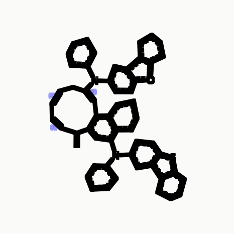 C=C1/C=C\C=C/C/C(N(c2ccccc2)c2ccc3oc4ccccc4c3c2)=C\c2c1cc(N(c1ccccc1)c1ccc3sc4ccccc4c3c1)c1ccccc21